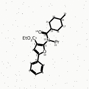 CCOC(=O)c1cc(-c2ccccc2)oc1N(C(=O)C1CCC(C)CC1)C(C)C